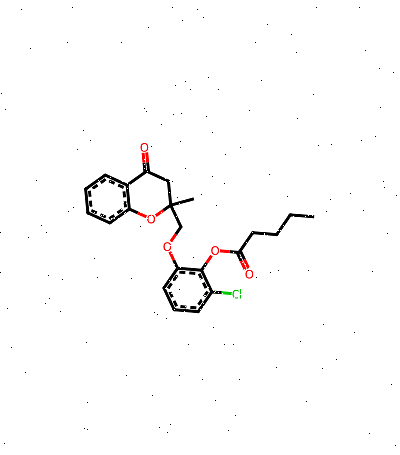 CCCCC(=O)Oc1c(Cl)cccc1OCC1(C)CC(=O)c2ccccc2O1